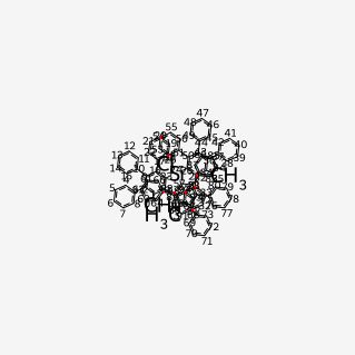 Cc1c(-c2ccccc2)c(-c2ccccc2)c(-c2ccccc2)c([Si](Cl)(c2c(-c3ccccc3)c(C)c(-c3ccccc3)c(-c3ccccc3)c2-c2ccccc2)c2c(-c3ccccc3)c(C)c(-c3ccccc3)c(-c3ccccc3)c2-c2ccccc2)c1-c1ccccc1